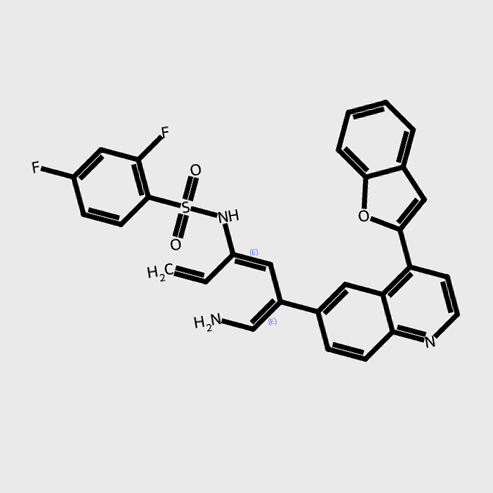 C=C/C(=C\C(=C/N)c1ccc2nccc(-c3cc4ccccc4o3)c2c1)NS(=O)(=O)c1ccc(F)cc1F